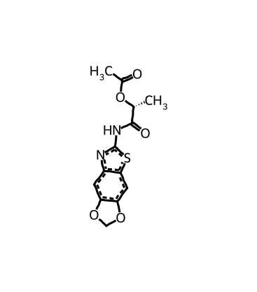 CC(=O)O[C@H](C)C(=O)Nc1nc2cc3c(cc2s1)OCO3